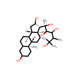 CC(C(O)C(O)[C@](C)(O)[C@H]1C(O)C[C@H]2[C@@H]3CCC4CC(O)CC[C@]4(C)[C@H]3CC[C@@]21C)C(C)(C)O